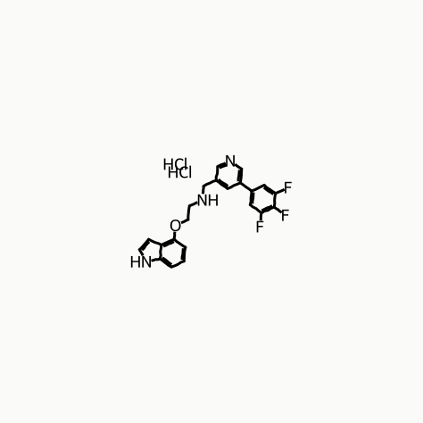 Cl.Cl.Fc1cc(-c2cncc(CNCCOc3cccc4[nH]ccc34)c2)cc(F)c1F